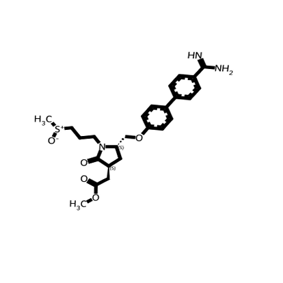 COC(=O)C[C@@H]1C[C@@H](COc2ccc(-c3ccc(C(=N)N)cc3)cc2)N(CCC[S+](C)[O-])C1=O